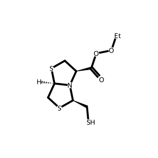 CCOOC(=O)[C@@H]1CS[C@@H]2CS[C@H](CS)N21